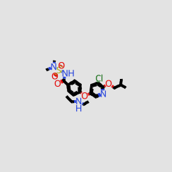 CC(C)COc1ncc(Oc2ccc(C(=O)NS(=O)(=O)N(C)C)cc2)cc1Cl.CCNCC